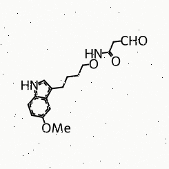 COc1ccc2[nH]cc(CCCCONC(=O)CC=O)c2c1